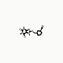 Cn1c(=O)c2c(nc(SCc3cccc(C#N)c3)n2C)n(C)c1=O